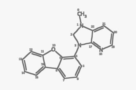 CN1CN(c2cccc3c2oc2ccccc23)c2ncccc21